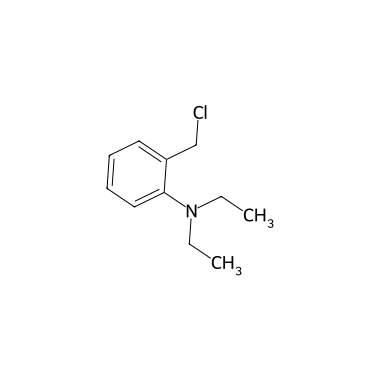 CCN(CC)c1ccccc1CCl